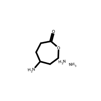 N.N.NC1CCOC(=O)CC1